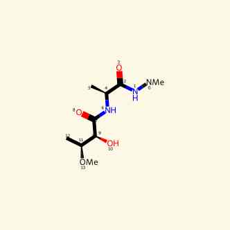 CNNC(=O)[C@H](C)NC(=O)[C@@H](O)[C@H](C)OC